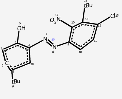 CC(C)(C)c1ccc(O)c(/N=N/c2ccc(Cl)c(C(C)(C)C)c2[N+](=O)[O-])c1